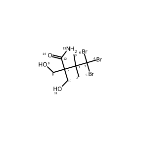 CC(C)(C(Br)(Br)Br)C(CO)(CO)C(N)=O